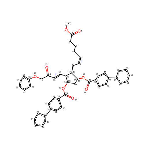 CC(C)OC(=O)CCC/C=C\C[C@@H]1[C@H](/C=C/C(=O)COc2ccccc2)[C@H](OC(=O)c2ccc(-c3ccccc3)cc2)C[C@@H]1OC(=O)c1ccc(-c2ccccc2)cc1